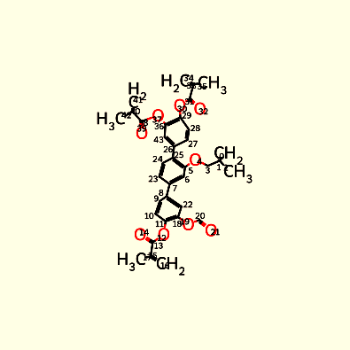 C=C(C)COc1cc(-c2ccc(OC(=O)C(=C)C)c(OC=O)c2)ccc1-c1ccc(OC(=O)C(=C)C)c(OC(=O)C(=C)C)c1